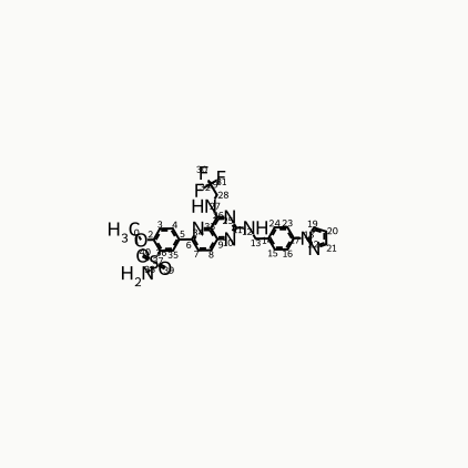 COc1ccc(-c2ccc3nc(NCc4ccc(-n5cccn5)cc4)nc(NCC(F)(F)F)c3n2)cc1S(N)(=O)=O